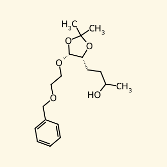 CC(O)CC[C@H]1OC(C)(C)O[C@H]1OCCOCc1ccccc1